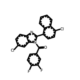 O=C(c1ccc(F)c(F)c1)n1c(-c2ccc(Cl)c3ccccc23)nc2ccc(Cl)cc21